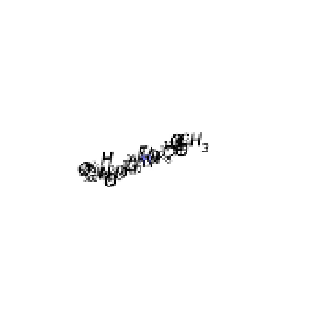 CC/C(=N\OCc1ccc(S(C)(=O)=O)cc1)c1ccc(OCC(=O)NCC2CCOCC2)cc1